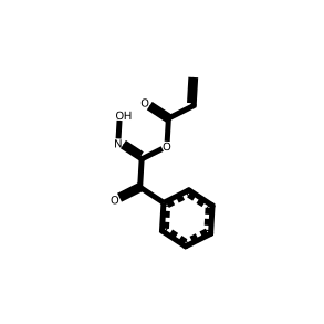 C=CC(=O)OC(=NO)C(=O)c1ccccc1